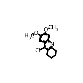 COc1cc2nc3c(c(Cl)c2cc1OC)CCCC3